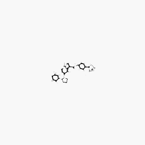 Cn1nnnc1-c1ccc(NC(=O)c2cnn3ccc(N4CCC[C@@H]4c4cc(F)ccc4F)cc23)cc1